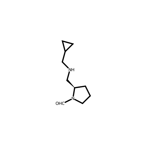 O=CN1CCC[C@@H]1CNCC1CC1